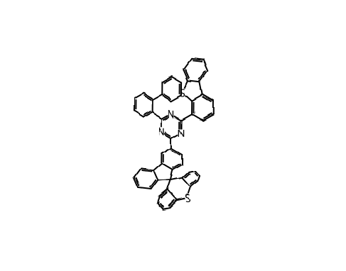 c1ccc(-c2ccccc2-c2nc(-c3ccc4c(c3)-c3ccccc3C43c4ccccc4Sc4ccccc43)nc(-c3cccc4c3sc3ccccc34)n2)cc1